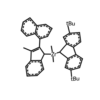 CC1=C(c2cccc3ccccc23)[CH]([Zr]([CH3])([CH3])[CH]2c3cc(C(C)(C)C)ccc3-c3ccc(C(C)(C)C)cc32)c2ccccc21